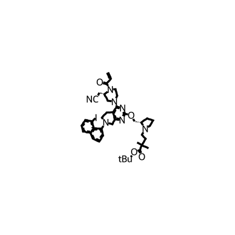 C=CC(=O)N1CCN(c2nc(OC[C@@H]3CCCN3CCC(C)(C)C(=O)OC(C)(C)C)nc3c2CCN(c2cccc4cccc(I)c24)C3)C[C@@H]1CC#N